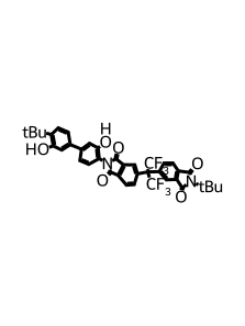 CC(C)(C)c1ccc(-c2ccc(N3C(=O)c4ccc(C(c5ccc6c(c5)C(=O)N(C(C)(C)C)C6=O)(C(F)(F)F)C(F)(F)F)cc4C3=O)c(O)c2)cc1O